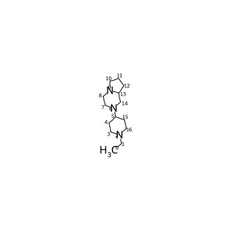 CCN1CCC(N2CCN3CCCC3C2)CC1